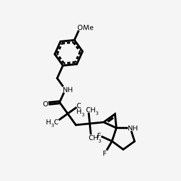 COc1ccc(CNC(=O)C(C)(C)CC(C)(C)C2=CC23NCCC3(F)F)cc1